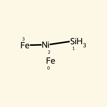 [Fe].[SiH3][Ni][Fe]